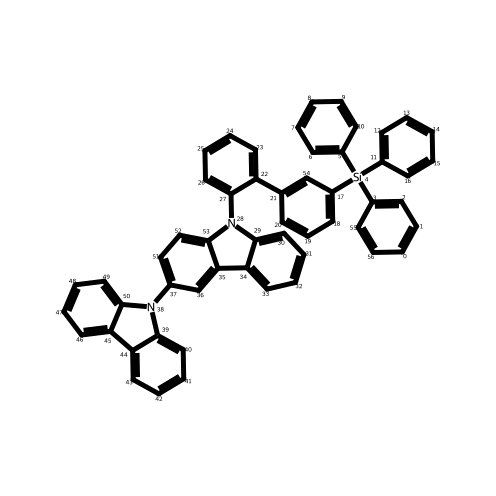 c1ccc([Si](c2ccccc2)(c2ccccc2)c2cccc(-c3ccccc3-n3c4ccccc4c4cc(-n5c6ccccc6c6ccccc65)ccc43)c2)cc1